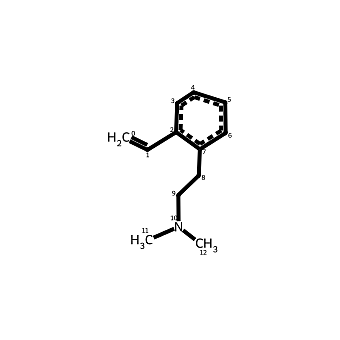 C=Cc1ccccc1CCN(C)C